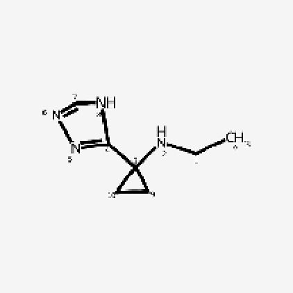 CCNC1(c2nnc[nH]2)CC1